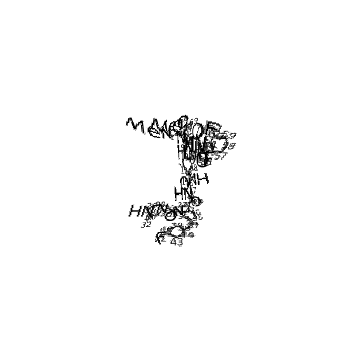 CNCC(=O)N[C@H](C(=O)N1Cc2ccc(NC(=O)CNC(=O)C3CN(C(=O)CN4CCN[C@H](C)C4)c4cc(Cc5ccc(F)cc5)ccc43)cc2[C@H]1C(=O)Nc1c(F)cccc1F)[C@@H](C)OC